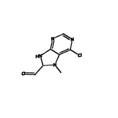 CN1c2c(Cl)ncnc2NC1C=O